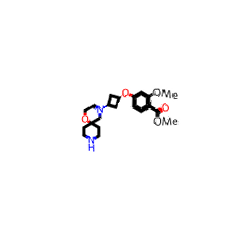 COC(=O)c1ccc(O[C@H]2C[C@H](N3CCOC4(CCNCC4)C3)C2)cc1OC